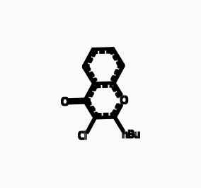 CCCCc1oc2ccccc2c(=O)c1Cl